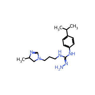 CC1CN(CCCN/C(=N\N)Nc2ccc(C(C)C)cc2)C=N1